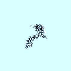 COc1cc(N2CCC(NCc3ccc4c(c3F)C(=O)N(C3CCC(=O)NC3=O)C4=O)CC2)ccc1Nc1ncc(Cl)c(Nc2ccccc2P(=O)(OC)OC)n1